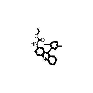 CCOC(=O)Nc1ccc2nc3ccccc3c(-c3cc(C)ccc3C)c2c1